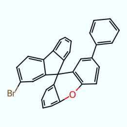 Brc1ccc2c(c1)C1(c3ccccc3Oc3ccc(-c4ccccc4)cc31)c1ccccc1-2